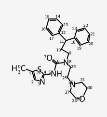 Cc1cnc(NC(=O)N(CCC(c2ccccc2)c2ccccc2)CCN2CCOCC2)s1